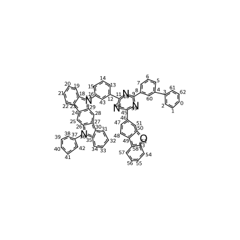 c1ccc(-c2cccc(-c3nc(-c4cccc(-n5c6ccccc6c6cc7c(cc65)c5ccccc5n7-c5ccccc5)c4)nc(-c4ccc5c(c4)oc4ccccc45)n3)c2)cc1